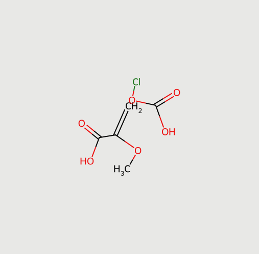 C=C(OC)C(=O)O.O=C(O)OCl